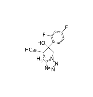 C#C[C@H](C)[C@](O)(Cn1cnnn1)c1ccc(F)cc1F